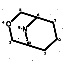 C1CC2COCC(C1)[N]2